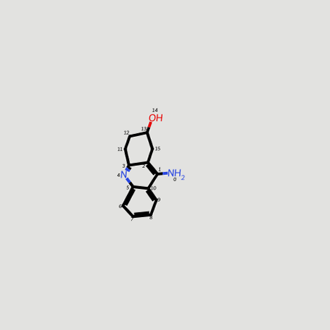 Nc1c2c(nc3ccccc13)CCC(O)C2